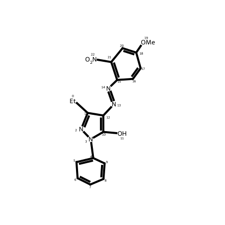 CCc1nn(-c2ccccc2)c(O)c1/N=N/c1ccc(OC)cc1[N+](=O)[O-]